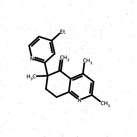 C=C1c2c(C)cc(C)nc2CCC1(C)c1cc(CC)ccn1